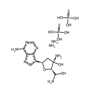 N.N.Nc1ncnc2c1ncn2[C@H]1C[C@](N)(O)[C@@H](C(N)O)O1.OP(O)(O)=S.OP(O)(O)=S